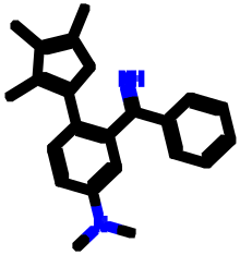 CC1=C(C)C(C)=C(c2ccc(N(C)C)cc2C(=N)c2ccccc2)C1